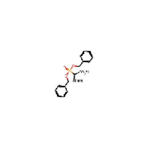 CCCCCC(C(=O)OCC)P(=O)(OCc1ccccc1)OCc1ccccc1